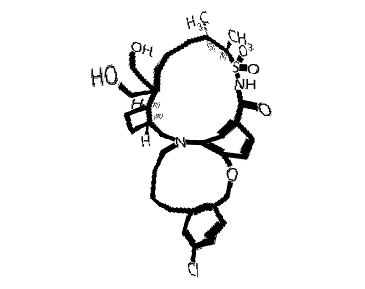 C[C@@H]1[C@@H](C)CCCC(CO)(CO)[C@@H]2CC[C@H]2CN2CCCCc3cc(Cl)ccc3COc3ccc(cc32)C(=O)NS1(=O)=O